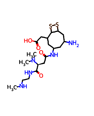 CNCCNC(=O)[C@H](CC(=O)NC1CC(N)CC2SSC2C(CC(=O)O)C1)N(C)C